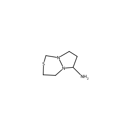 NC1CCN2CSCCN12